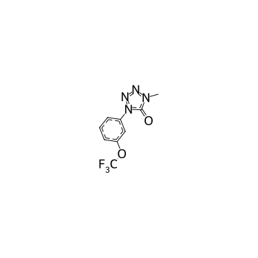 Cn1nnn(-c2cccc(OC(F)(F)F)c2)c1=O